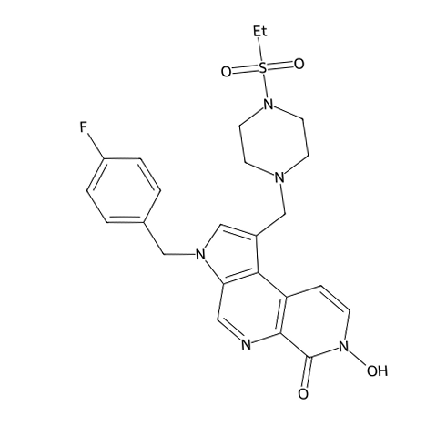 CCS(=O)(=O)N1CCN(Cc2cn(Cc3ccc(F)cc3)c3cnc4c(=O)n(O)ccc4c23)CC1